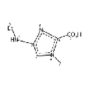 CCNc1cn(C)c(C(=O)O)n1